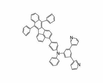 c1ccc(-c2c3c(c(-c4ccccc4)c4ccccc24)-c2ccc(-c4ccc(N(c5ccccc5)c5cc(-c6cccnc6)cc(-c6cccnc6)c5)cc4)c4cccc-3c24)cc1